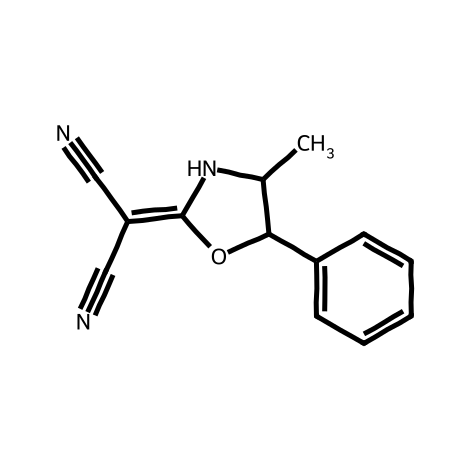 CC1NC(=C(C#N)C#N)OC1c1ccccc1